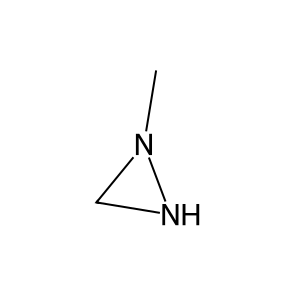 CN1CN1